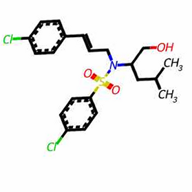 CC(C)CC(CO)N(C/C=C/c1ccc(Cl)cc1)S(=O)(=O)c1ccc(Cl)cc1